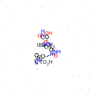 CC(C)(C)[Si](C)(C)O[C@H](CNCc1ccc2c(c1)[nH]c(=O)n2C/C=C/c1ccc(-c2ccccc2)c(N(C(=O)O)[C@H]2CN3CCC2CC3)c1)c1ccc(O)c2[nH]c(=O)ccc12